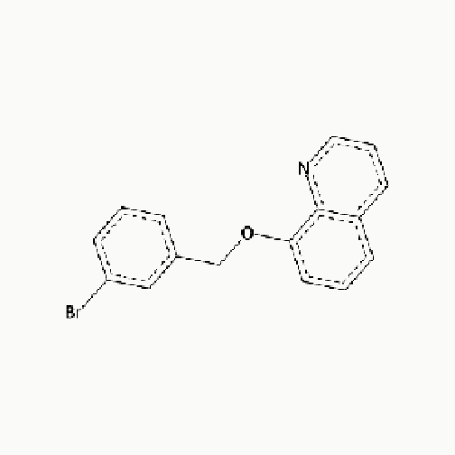 Brc1cccc(COc2cccc3cccnc23)c1